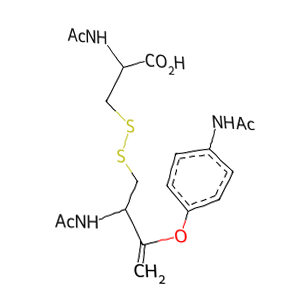 C=C(Oc1ccc(NC(C)=O)cc1)C(CSSCC(NC(C)=O)C(=O)O)NC(C)=O